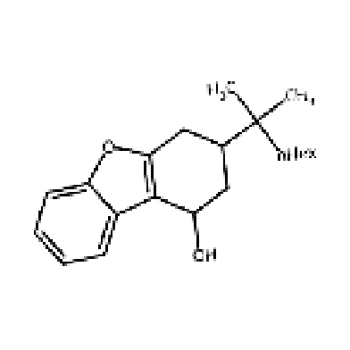 CCCCCCC(C)(C)C1Cc2oc3ccccc3c2C(O)C1